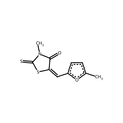 Cc1ccc(C=C2SC(=S)N(C)C2=O)o1